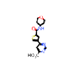 O=C(O)c1cc(-c2csc(C(=O)NC3CCOCC3)c2)ncn1